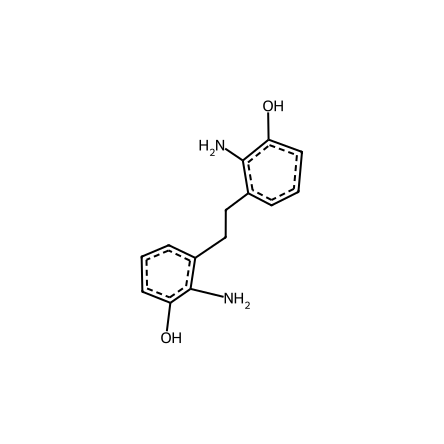 Nc1c(O)cccc1CCc1cccc(O)c1N